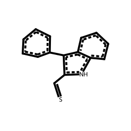 S=Cc1[nH]c2ccccc2c1-c1ccccc1